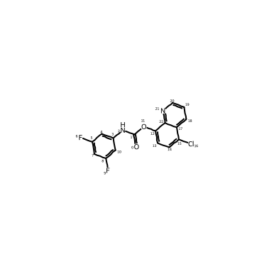 O=C(Nc1cc(F)cc(F)c1)Oc1ccc(Cl)c2cccnc12